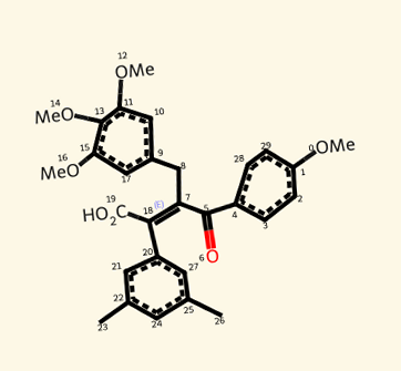 COc1ccc(C(=O)/C(Cc2cc(OC)c(OC)c(OC)c2)=C(/C(=O)O)c2cc(C)cc(C)c2)cc1